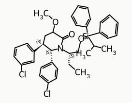 CC[C@@H](CO[Si](c1ccccc1)(c1ccccc1)C(C)C)N1C(=O)C(OC)C[C@H](c2cccc(Cl)c2)[C@H]1c1ccc(Cl)cc1